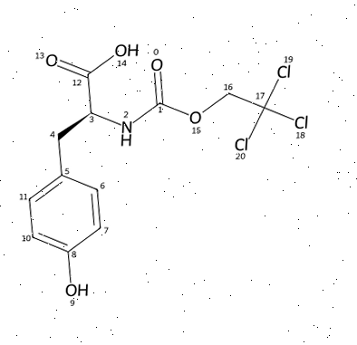 O=C(N[C@@H](Cc1ccc(O)cc1)C(=O)O)OCC(Cl)(Cl)Cl